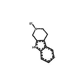 CCN1CCc2c([nH]c3cc[c]cc23)C1